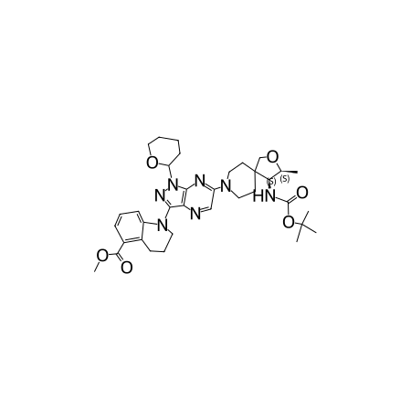 COC(=O)c1cccc2c1CCCN2c1nn(C2CCCCO2)c2nc(N3CCC4(CC3)CO[C@@H](C)[C@H]4NC(=O)OC(C)(C)C)cnc12